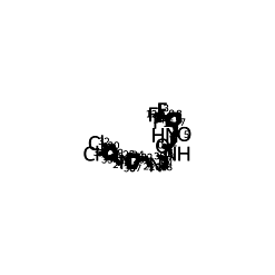 O=C(CNC(=O)c1cccc(C(F)(F)F)c1)N[C@@H]1CCN(CCC2CCN(Cc3ccc(Cl)c(Cl)c3)CC2)C1